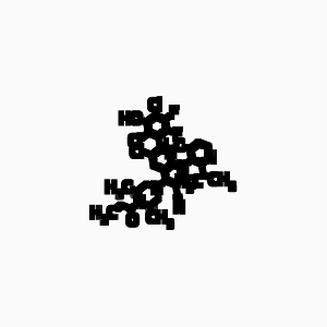 C=CC(=O)N1[C@H](C)CN(c2c(C#N)c(=O)n(-c3c(C)ccnc3C(C)C)c3nc(-c4c(F)c(F)c(Cl)c(O)c4Cl)c(Cl)cc23)C[C@@H]1C